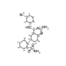 Nc1nc(Nc2cccc(Br)c2)c2cc(-c3ccccc3S(N)(=O)=O)ccc2n1